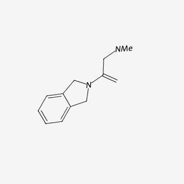 C=C(CNC)N1Cc2ccccc2C1